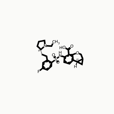 CCN1CCC[C@H]1CCc1cc(F)ccc1S(=O)(=O)Nc1ccc2c(c1C(=O)O)OCC1C[C@H]21